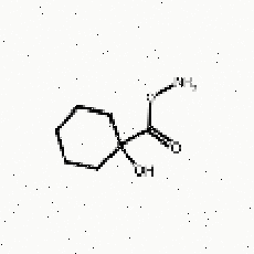 NOC(=O)C1(O)CCCCC1